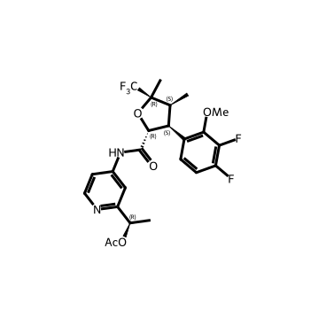 COc1c([C@H]2[C@H](C(=O)Nc3ccnc([C@@H](C)OC(C)=O)c3)O[C@@](C)(C(F)(F)F)[C@H]2C)ccc(F)c1F